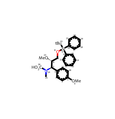 COc1ccc([C@H]([C@@H](CO[Si](c2ccccc2)(c2ccccc2)C(C)(C)C)OC)N(C)C(=O)O)cc1